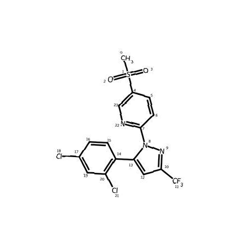 CS(=O)(=O)c1ccc(-n2nc(C(F)(F)F)cc2-c2ccc(Cl)cc2Cl)nc1